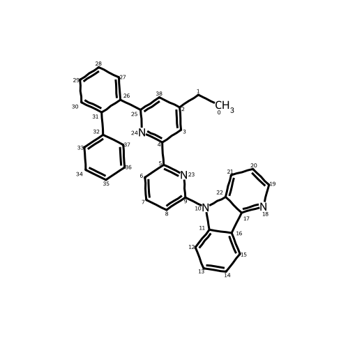 CCc1cc(-c2cccc(-n3c4ccccc4c4ncccc43)n2)nc(-c2ccccc2-c2ccccc2)c1